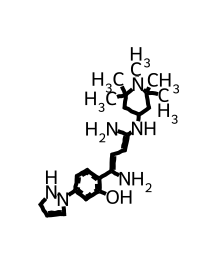 CN1C(C)(C)CC(N/C(N)=C/C=C(\N)c2ccc(N3C=CCN3)cc2O)CC1(C)C